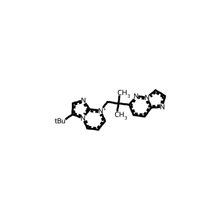 CC(C)(C)c1cnc2n1ccc[n+]2CC(C)(C)c1ccc2nccn2n1